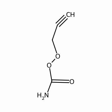 C#CCOOC(N)=O